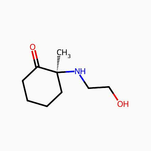 C[C@]1(NCCO)CCCCC1=O